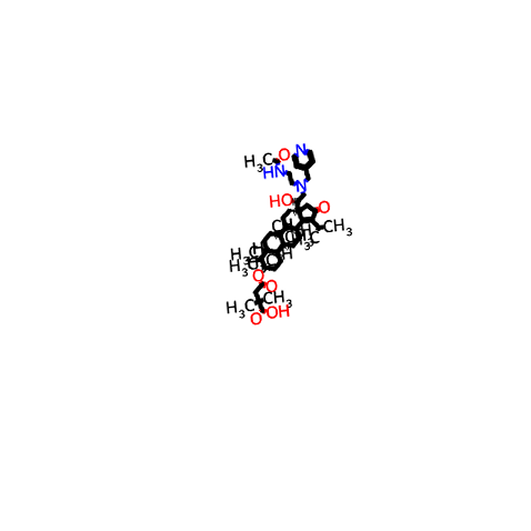 CC(=O)NCCN(Cc1ccncc1)C[C@H](O)[C@@]12CC[C@]3(C)[C@H](CC[C@@H]4[C@@]5(C)CC[C@H](OC(=O)CC(C)(C)C(=O)O)C(C)(C)[C@@H]5CC[C@]43C)C1=C(C(C)C)C(=O)C2